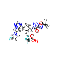 Cc1cc(-c2ncnn3cc(N4CCC(F)C4)cc23)ccc1CNC(=O)c1noc(C(C)(C)C)n1.O=C(O)C(F)(F)F